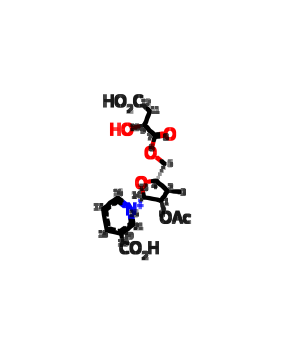 CC(=O)O[C@@H]1[C@H](C)[C@@H](COC(=O)[C@@H](O)CC(=O)O)O[C@H]1[n+]1cccc(C(=O)O)c1